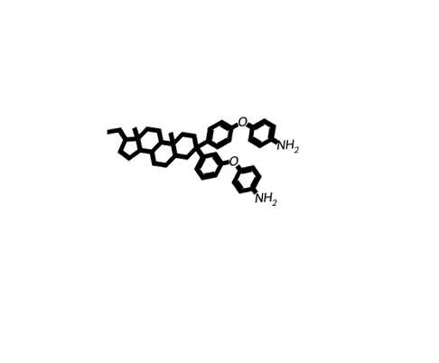 CCC1CCC2C3CCC4CC(c5ccc(Oc6ccc(N)cc6)cc5)(c5cccc(Oc6ccc(N)cc6)c5)CCC4(C)C3CCC12C